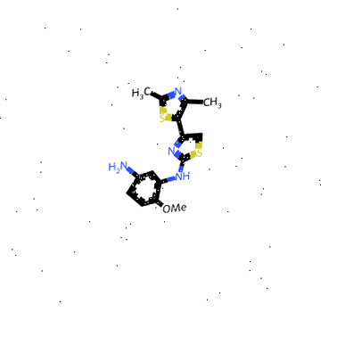 COc1ccc(N)cc1Nc1nc(-c2sc(C)nc2C)cs1